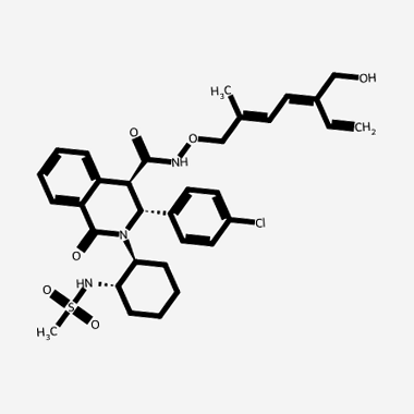 C=C/C(=C\C=C(/C)CONC(=O)[C@@H]1c2ccccc2C(=O)N([C@H]2CCCC[C@@H]2NS(C)(=O)=O)[C@H]1c1ccc(Cl)cc1)CO